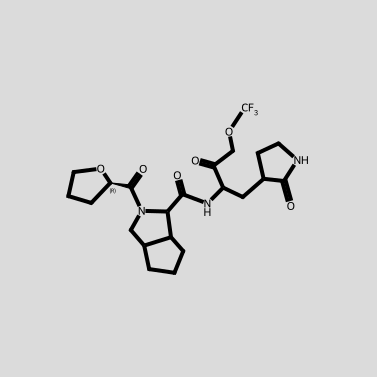 O=C1NCCC1CC(NC(=O)C1C2CCCC2CN1C(=O)[C@H]1CCCO1)C(=O)COC(F)(F)F